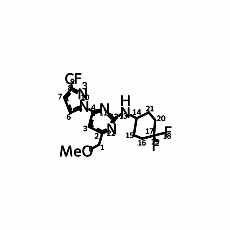 COCc1cc(-n2ccc(C(F)(F)F)n2)nc(NC2CCC(F)(F)CC2)n1